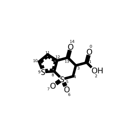 O=C(O)C1CS(=O)(=O)c2sccc2C1=O